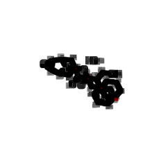 Br.O=C(CCC1CCCCC1)CN1C2CC(OC(=O)C(CO)c3ccccc3)CC1C1OC12